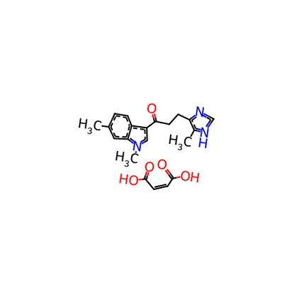 Cc1ccc2c(C(=O)CCc3nc[nH]c3C)cn(C)c2c1.O=C(O)/C=C\C(=O)O